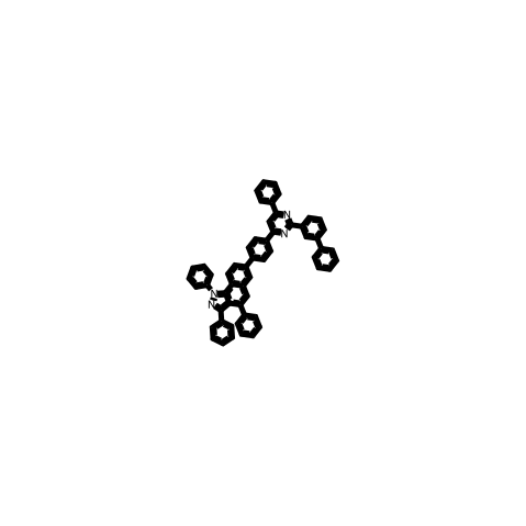 c1ccc(-c2cccc(-c3nc(-c4ccccc4)cc(-c4ccc(-c5ccc6c(c5)cc(-c5ccccc5)c5c(-c7ccccc7)nn(-c7ccccc7)c56)cc4)n3)c2)cc1